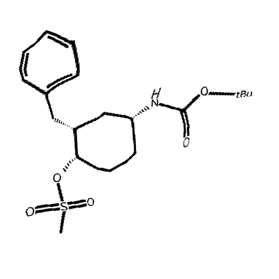 CC(C)(C)OC(=O)N[C@@H]1CC[C@H](OS(C)(=O)=O)[C@H](Cc2ccccc2)C1